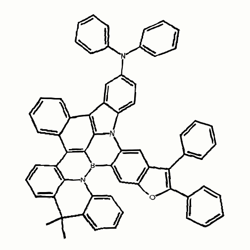 CC1(C)c2ccccc2N2B3c4cc5oc(-c6ccccc6)c(-c6ccccc6)c5cc4-n4c5ccc(N(c6ccccc6)c6ccccc6)cc5c5c6ccccc6c(c3c54)-c3cccc1c32